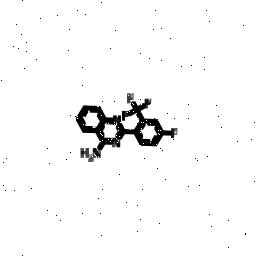 Nc1nc(-c2ccc(F)cc2C(F)(F)F)nc2ccccc12